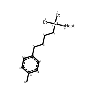 CCCCCCC[N+](CC)(CC)CCCCc1ccc(C)cc1